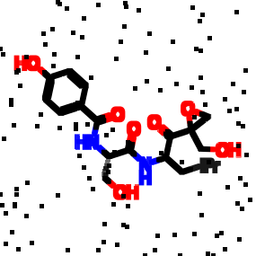 CC(C)CC(NC(=O)[C@H](CO)NC(=O)c1ccc(O)cc1)C(=O)C1(CO)CO1